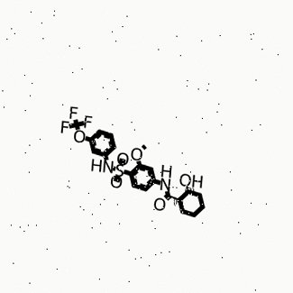 COc1cc(NC(=O)[C@@H]2CCCC[C@H]2O)ccc1S(=O)(=O)Nc1cccc(OC(F)(F)F)c1